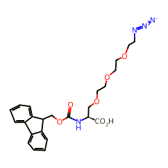 [N-]=[N+]=NCCOCCOCCOC[C@H](NC(=O)OCC1c2ccccc2-c2ccccc21)C(=O)O